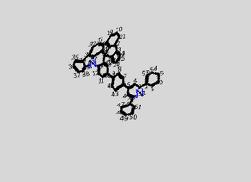 C1=CC(c2cc(-c3ccc(-c4ccc5c(c4)C4(c6ccccc6-c6ccccc64)c4cccc6c7ccccc7n-5c46)cc3)cc(-c3ccccc3)n2)=CCC1